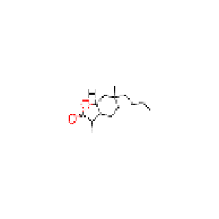 CCCC[C@]1(C)CCC2C(C)C(=O)O[C@@H]2C1